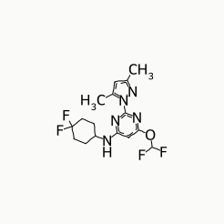 Cc1cc(C)n(-c2nc(NC3CCC(F)(F)CC3)cc(OC(F)F)n2)n1